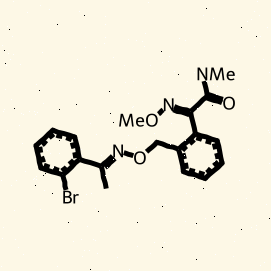 CNC(=O)/C(=N/OC)c1ccccc1CO/N=C(\C)c1ccccc1Br